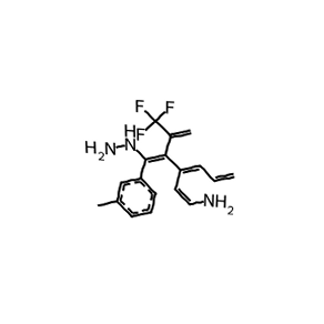 C=C/C=C(\C=C/N)C(/C(=C)C(F)(F)F)=C(/NN)c1cccc(C)c1